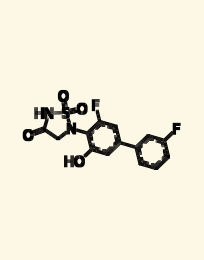 O=C1CN(c2c(O)cc(-c3cccc(F)c3)cc2F)S(=O)(=O)N1